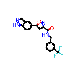 O=C(NCc1cccc(C(F)(F)F)c1)c1cc(-c2ccc3[nH]ncc3c2)on1